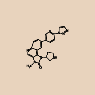 Cn1c(=O)n(C2CCNC2)c2c3cc(-c4ccc(-n5ccnn5)nc4)ccc3ncc21